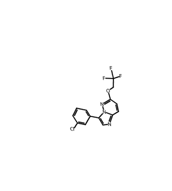 FC(F)(F)COc1ccc2ncc(-c3cccc(Cl)c3)n2n1